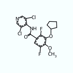 COc1c(F)cc(C(=O)Nc2c(Cl)cncc2Cl)c(F)c1OC1CCCC1